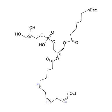 CCCCCCCC/C=C\C/C=C\C/C=C\CCCC(=O)O[C@H](COC(=O)CCCCCCCCCCCCCCC)COP(=O)(O)OC[C@@H](O)CO